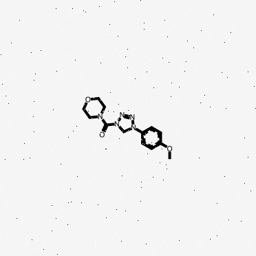 COc1ccc(N2CN(C(=O)N3CCOCC3)N=N2)cc1